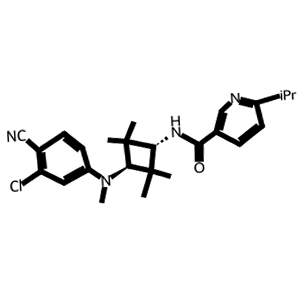 CC(C)c1ccc(C(=O)N[C@H]2C(C)(C)[C@H](N(C)c3ccc(C#N)c(Cl)c3)C2(C)C)cn1